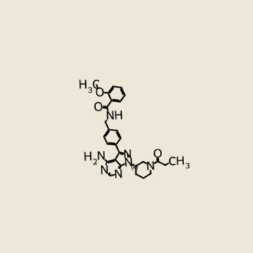 CCC(=O)N1CCC[C@@H](n2nc(-c3ccc(CNC(=O)c4ccccc4OC)cc3)c3c(N)ncnc32)C1